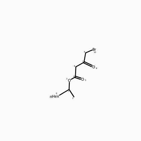 CCCCCCC(C)OC(=O)CC(=O)CBr